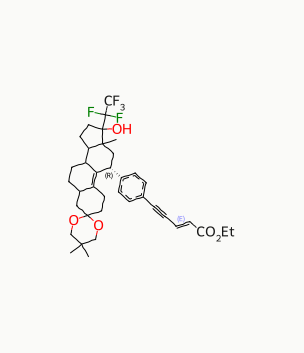 CCOC(=O)/C=C/C#Cc1ccc([C@H]2CC3(C)C(CCC3(O)C(F)(F)C(F)(F)F)C3CCC4CC5(CCC4=C32)OCC(C)(C)CO5)cc1